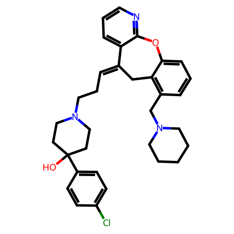 OC1(c2ccc(Cl)cc2)CCN(CCC=C2Cc3c(CN4CCCCC4)cccc3Oc3ncccc32)CC1